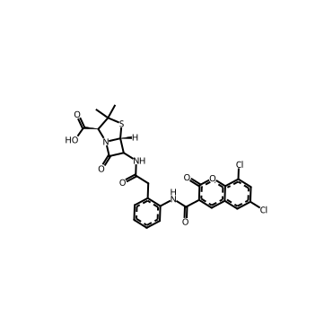 CC1(C)S[C@@H]2C(NC(=O)Cc3ccccc3NC(=O)c3cc4cc(Cl)cc(Cl)c4oc3=O)C(=O)N2[C@H]1C(=O)O